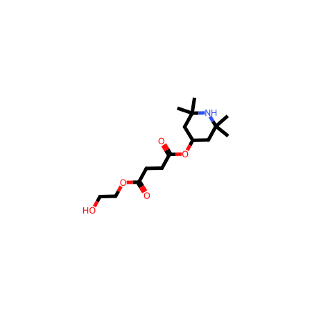 CC1(C)CC(OC(=O)CCC(=O)OCCO)CC(C)(C)N1